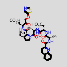 CC(C)[C@H](NC(=O)c1ccc2ccccc2n1)C(=O)N[C@@H](CC(=O)O)C(=O)N[C@H](C(=O)N1CC[C@H](CC(C)(C)C)[C@H]1C(=O)N[C@@H](CC(=O)O)C(=O)COc1cncs1)C(C)C